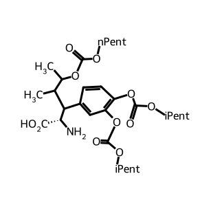 CCCCCOC(=O)OC(C)C(C)C(c1ccc(OC(=O)OC(C)CCC)c(OC(=O)OC(C)CCC)c1)[C@H](N)C(=O)O